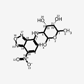 CC1OC(O)C(Nc2ccc([N+](=O)[O-])c3nonc23)[C@H](O)[C@@H]1O